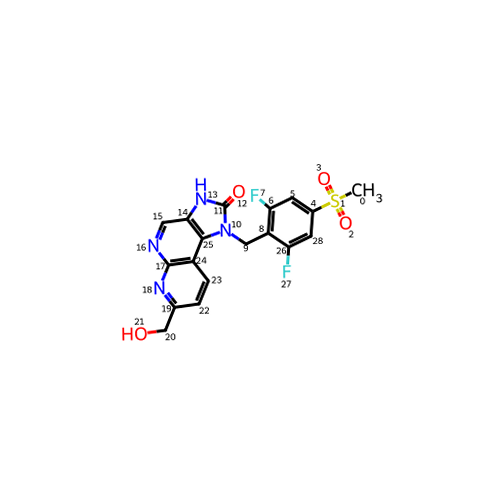 CS(=O)(=O)c1cc(F)c(Cn2c(=O)[nH]c3cnc4nc(CO)ccc4c32)c(F)c1